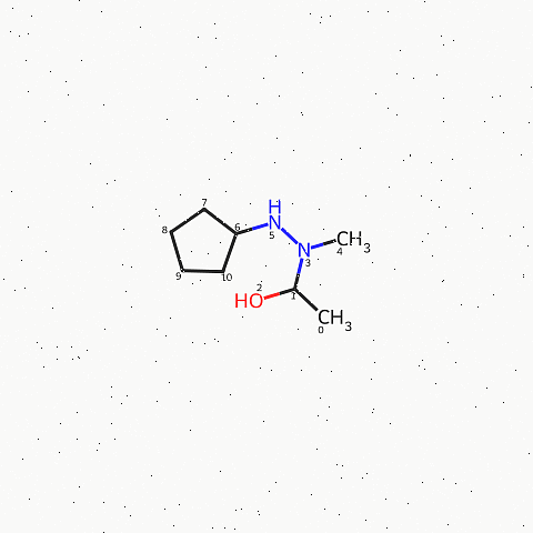 CC(O)N(C)NC1CCCC1